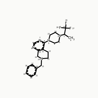 CC(N1CCN(c2ncnc3c2CCN(Cc2ccccc2)C3)CC1)C(F)(F)F